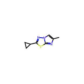 Cc1cn2nc(C3CC3)sc2n1